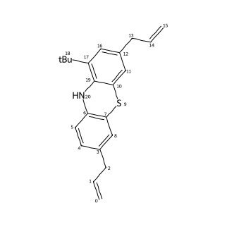 C=CCc1ccc2c(c1)Sc1cc(CC=C)cc(C(C)(C)C)c1N2